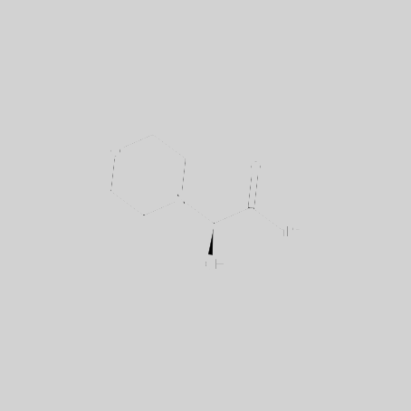 CC(C)C(=O)[C@@H](C)N1CCOCC1